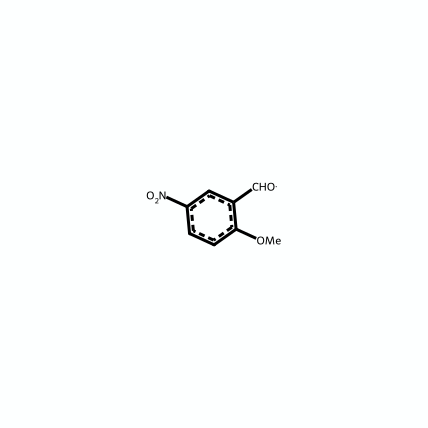 COc1ccc([N+](=O)[O-])cc1[C]=O